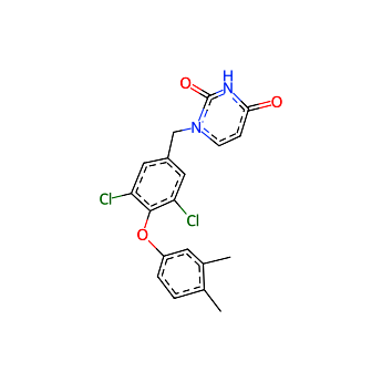 Cc1ccc(Oc2c(Cl)cc(Cn3ccc(=O)[nH]c3=O)cc2Cl)cc1C